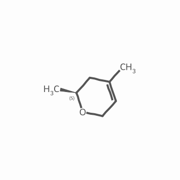 CC1=CCO[C@@H](C)C1